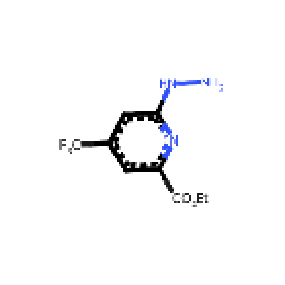 CCOC(=O)c1cc(C(F)(F)F)cc(NN)n1